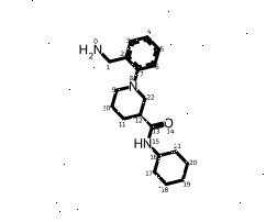 NCc1ccccc1N1CCC[C@H](C(=O)NC2CCCCC2)C1